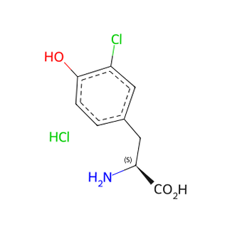 Cl.N[C@@H](Cc1ccc(O)c(Cl)c1)C(=O)O